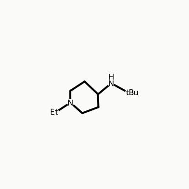 CCN1CCC(NC(C)(C)C)CC1